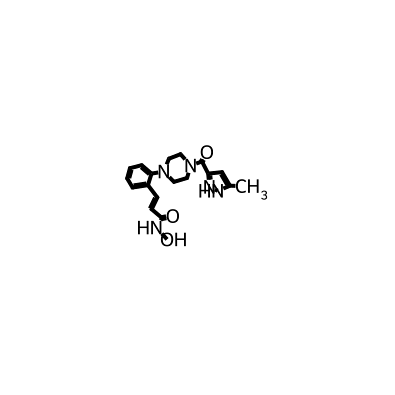 Cc1cc(C(=O)N2CCN(c3ccccc3C=CC(=O)NO)CC2)n[nH]1